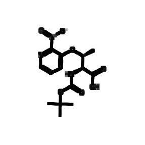 C[C@H](Oc1cccnc1[N+](=O)[O-])[C@H](NC(=O)OC(C)(C)C)C(=O)O